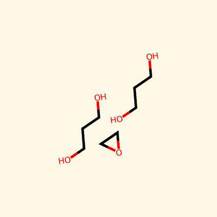 C1CO1.OCCCO.OCCCO